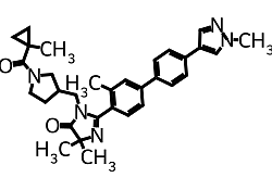 Cc1cc(-c2ccc(-c3cnn(C)c3)cc2)ccc1C1=NC(C)(C)C(=O)N1CC1CCN(C(=O)C2(C)CC2)C1